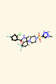 CC(NC(=O)c1ccc(F)cc1Cl)C1(N2CCN(S(=O)(=O)c3cn(C)nn3)CC2)CCC(F)(F)C1